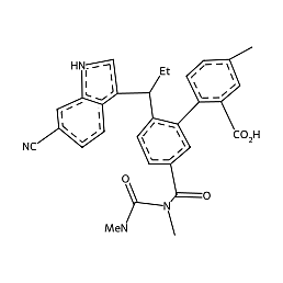 CCC(c1ccc(C(=O)N(C)C(=O)NC)cc1-c1ccc(C)cc1C(=O)O)c1c[nH]c2cc(C#N)ccc12